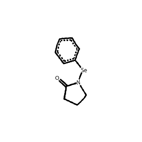 O=C1CCCN1[Se]c1ccccc1